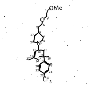 COCCOCCC1CCN(C(C=C(C)C)CC(C)(C)c2ccc(C(F)(F)F)cc2)CC1